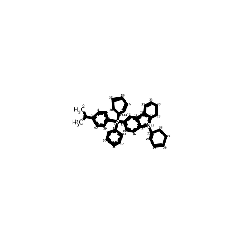 CC(C)c1ccc(S(c2ccccc2)(c2ccc3c(c2)c2c(n3C3=CC=CCC3)CCC=C2)C2C=CC=CC2)cc1